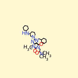 CN(C)C(=O)Cn1c(=O)c2c(nc(N3CCCC(NC4CCCCC4)C3)n2CC2C=CCCC2)n(C)c1=O